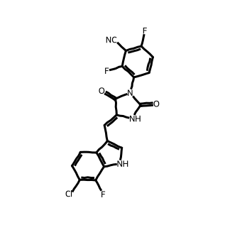 N#Cc1c(F)ccc(N2C(=O)NC(=Cc3c[nH]c4c(F)c(Cl)ccc34)C2=O)c1F